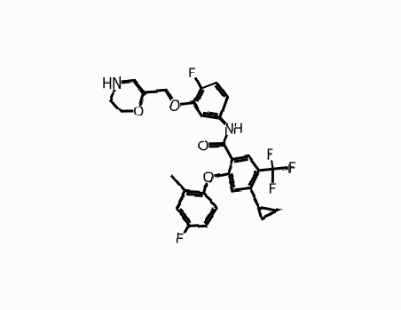 Cc1cc(F)ccc1Oc1cc(C2CC2)c(C(F)(F)F)cc1C(=O)Nc1ccc(F)c(OCC2CNCCO2)c1